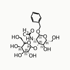 CC(=O)N[C@@H]1[C@@H](OCc2ccccc2)O[C@H](CO)[C@@H](O)[C@@H]1O[C@@H]1O[C@H](CO)[C@H](O)[C@H](O)[C@H]1O